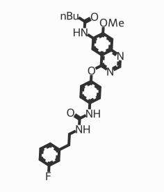 CCCCC(=O)Nc1cc2c(Oc3ccc(NC(=O)NCCc4cccc(F)c4)cc3)ncnc2cc1OC